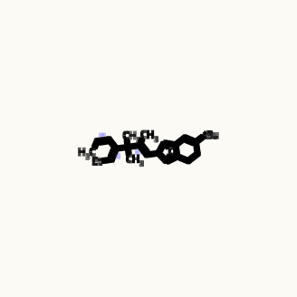 C/C=C\C(=C/CC)C(C)(C)/C(C)=C/C1C2OC1C1CCC(C(C)(C)C)=CC12